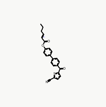 CCC/C=C/C(=O)Oc1ccc(-c2ccc(C(=O)c3ccc(C#N)s3)cc2)cc1